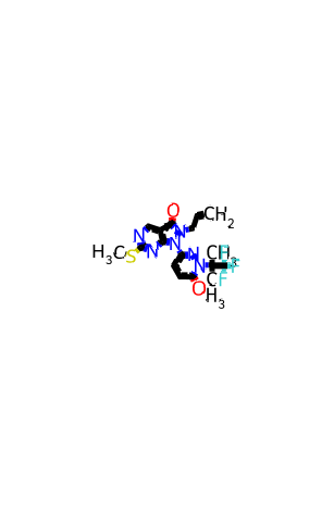 C=CCn1c(=O)c2cnc(SC)nc2n1-c1ccc(=O)n(C(C)(C)C(F)(F)F)n1